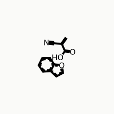 C=C(C#N)C(=O)O.c1ccc2occc2c1